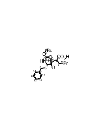 CC(C)CC(NC(=O)[C@H](CCc1ccccc1)NC(=O)OC(C)(C)C)C(=O)O